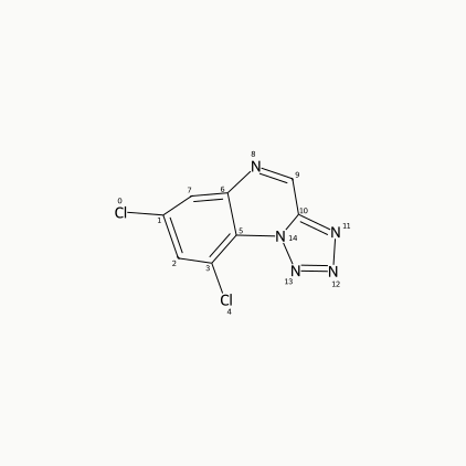 Clc1cc(Cl)c2c(c1)ncc1nnnn12